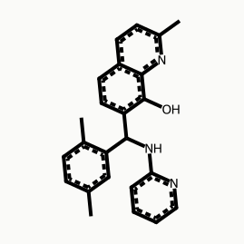 Cc1ccc(C)c(C(Nc2ccccn2)c2ccc3ccc(C)nc3c2O)c1